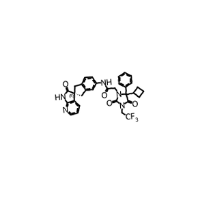 O=C(CN1C(=O)N(CC(F)(F)F)C(=O)C1(c1ccccc1)C1CCC1)Nc1ccc2c(c1)C[C@@]1(C2)C(=O)Nc2ncccc21